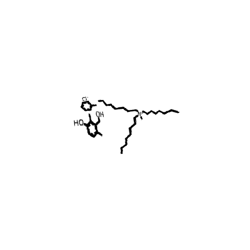 CCCCCCCC[N+](C)(CCCCCCCC)CCCCCCCC.Cc1ccc(O)c(C)c1CO.Cc1ccccc1.[Cl-]